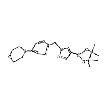 CC1(C)OB(c2cnn(Cc3ccc(N4CCOCC4)cn3)c2)OC1(C)C